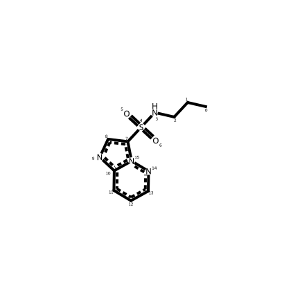 CCCNS(=O)(=O)c1cnc2cccnn12